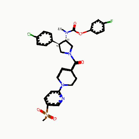 CCN(C(=O)Oc1ccc(F)cc1)[C@@H]1CN(C(=O)C2CCN(c3ccc(S(C)(=O)=O)cn3)CC2)C[C@H]1c1ccc(Cl)cc1